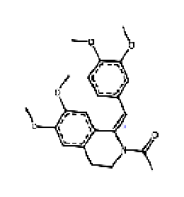 COc1ccc(/C=C2\c3cc(OC)c(OC)cc3CCN2C(C)=O)cc1OC